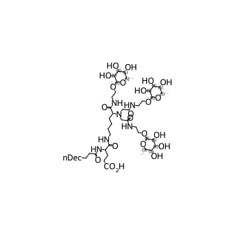 CCCCCCCCCCCCC(=O)NC(CCC(=O)O)C(=O)NCCCCC(C(=O)NCCO[C@@H]1O[C@@H](C)[C@@H](O)[C@@H](O)[C@@H]1O)N(CC(=O)NCCO[C@@H]1O[C@@H](C)[C@@H](O)[C@@H](O)[C@@H]1O)CC(=O)NCCO[C@@H]1O[C@@H](C)[C@@H](O)[C@@H](O)[C@@H]1O